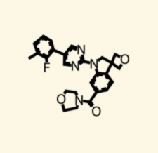 Cc1cccc(-c2cnc(N3CC4(COC4)c4ccc(C(=O)N5CCOCC5)cc43)nc2)c1F